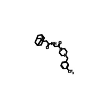 O=C(CC12CC3CC(CC(C3)C1)C2)NCC(=O)N1CCN(Cc2cccc(C(F)(F)F)c2)CC1